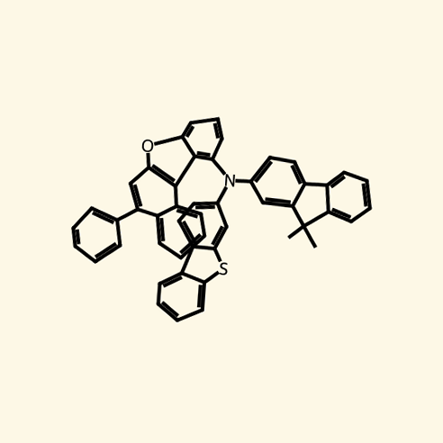 CC1(C)c2ccccc2-c2ccc(N(c3ccc4c(c3)sc3ccccc34)c3cccc4oc5cc(-c6ccccc6)c6ccccc6c5c34)cc21